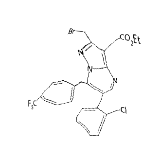 CCOC(=O)c1c(CBr)nn2c(-c3ccc(C(F)(F)F)cc3)c(-c3ccccc3Cl)cnc12